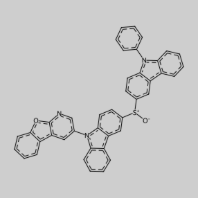 [O-][S+](c1ccc2c(c1)c1ccccc1n2-c1ccccc1)c1ccc2c(c1)c1ccccc1n2-c1cnc2oc3ccccc3c2c1